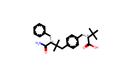 CC(C)(C)[C@@H](Cc1ccc(CC(C)(C)[C@@H](Cc2ccccc2)C(N)=O)cc1)C(=O)O